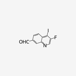 O=Cc1ccc2c(I)c(F)cnc2c1